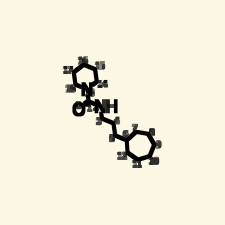 O=C(NCCCC1CCCCCC1)N1CCCCC1